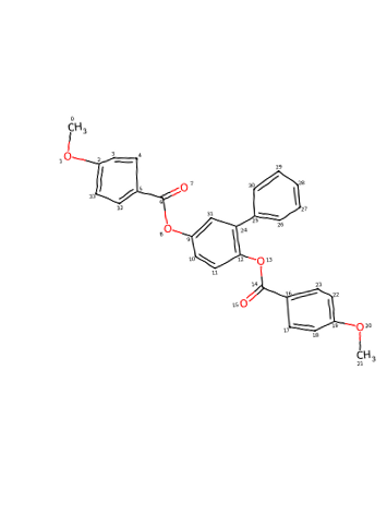 COc1ccc(C(=O)Oc2ccc(OC(=O)c3ccc(OC)cc3)c(-c3ccccc3)c2)cc1